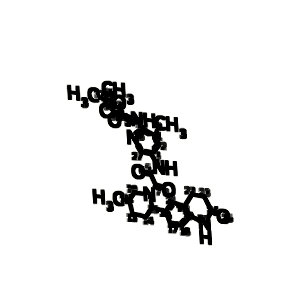 Cc1cc(NC(=O)C(=O)N2C[C@@H](C)CC[C@@H]2c2ccc3c(c2)CCC(=O)N3)cnc1NC(=O)OC(C)(C)C